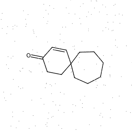 O=C1C=CC2(CCCCCC2)CC1